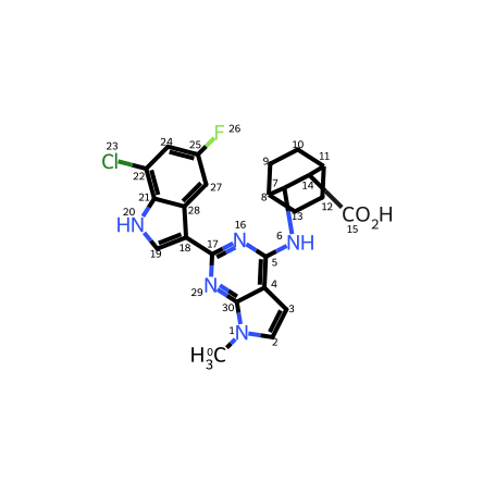 Cn1ccc2c(NC3C4CCC(CC4)C3C(=O)O)nc(-c3c[nH]c4c(Cl)cc(F)cc34)nc21